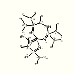 CC(C)P(=NP1(=NC(C)(C)C)N=P(N(C)C)(N(C)C)NN(C)P(N(C)C)(N(C)C)=N1)(N(C)C)N(C)C